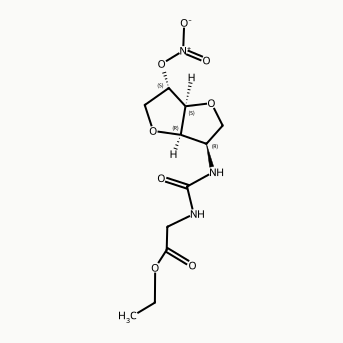 CCOC(=O)CNC(=O)N[C@@H]1CO[C@H]2[C@@H]1OC[C@@H]2O[N+](=O)[O-]